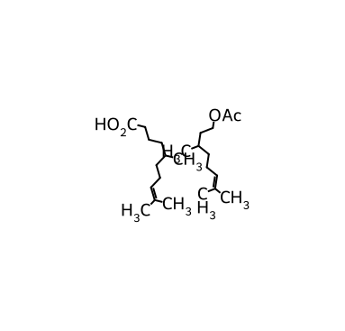 CC(=O)OCCC(C)CCC=C(C)C.CC(C)=CCCC(C)CCCC(=O)O